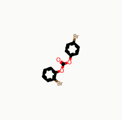 O=C(Oc1ccc(Br)cc1)Oc1ccccc1Br